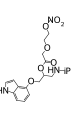 CC(C)NCC(COc1cccc2[nH]ccc12)OC(=O)COCCO[N+](=O)[O-]